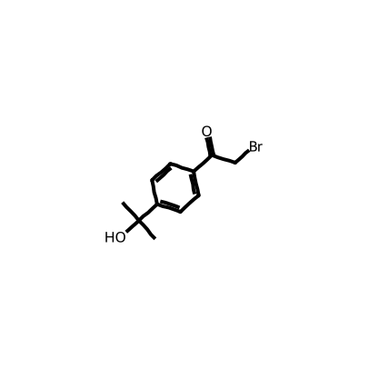 CC(C)(O)c1ccc(C(=O)CBr)cc1